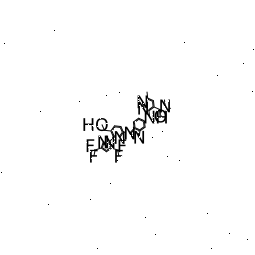 Cc1cc(C(=O)N(C)C)c(Nc2ccc3c(c2)ncn3-c2ccc(CO)c(-n3nc(C(F)F)cc3C(F)F)n2)nn1